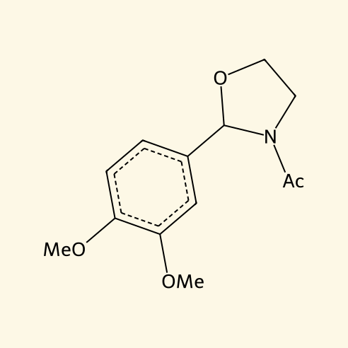 COc1ccc(C2OCCN2C(C)=O)cc1OC